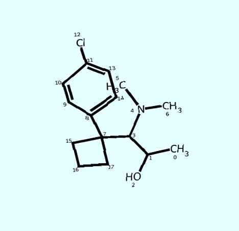 CC(O)C(N(C)C)C1(c2ccc(Cl)cc2)CCC1